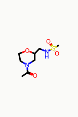 CC(=O)N1CCOC(CNS(C)(=O)=O)C1